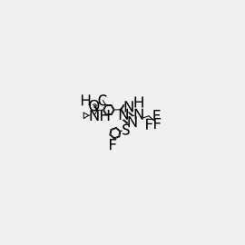 Cc1cc(-c2cnc3c(NCCC(F)(F)F)nc(Sc4cccc(F)c4)cn23)ccc1C(=O)NC1CC1